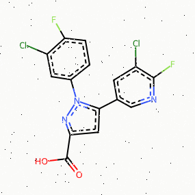 O=C(O)c1cc(-c2cnc(F)c(Cl)c2)n(-c2ccc(F)c(Cl)c2)n1